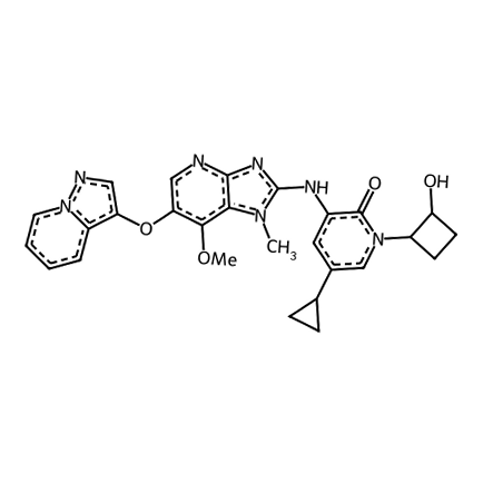 COc1c(Oc2cnn3ccccc23)cnc2nc(Nc3cc(C4CC4)cn(C4CCC4O)c3=O)n(C)c12